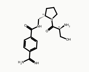 N=C(N)c1ccc(C(=O)NC[C@@H]2CCCN2C(=O)[C@@H](N)CO)cc1